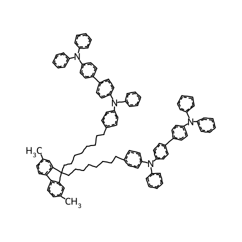 Cc1ccc2c(c1)C(CCCCCCCCc1ccc(N(c3ccccc3)c3ccc(-c4ccc(N(c5ccccc5)c5ccccc5)cc4)cc3)cc1)(CCCCCCCCc1ccc(N(c3ccccc3)c3ccc(-c4ccc(N(c5ccccc5)c5ccccc5)cc4)cc3)cc1)c1cc(C)ccc1-2